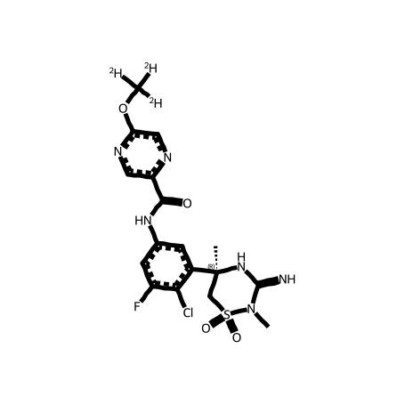 [2H]C([2H])([2H])Oc1cnc(C(=O)Nc2cc(F)c(Cl)c([C@]3(C)CS(=O)(=O)N(C)C(=N)N3)c2)cn1